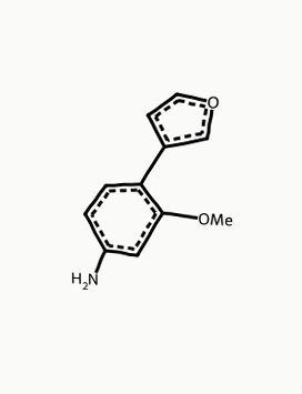 COc1cc(N)ccc1-c1ccoc1